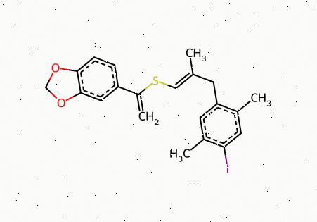 C=C(S/C=C(\C)Cc1cc(C)c(I)cc1C)c1ccc2c(c1)OCO2